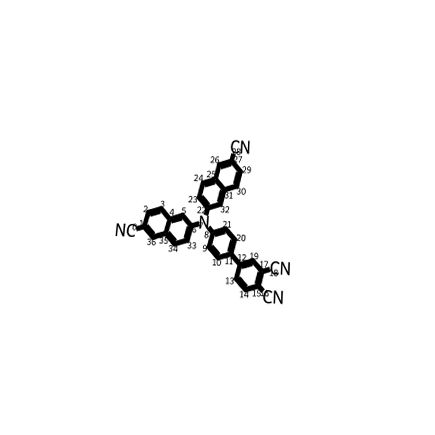 N#Cc1ccc2cc(N(c3ccc(-c4ccc(C#N)c(C#N)c4)cc3)c3ccc4cc(C#N)ccc4c3)ccc2c1